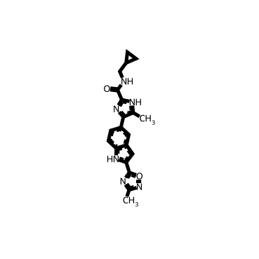 Cc1noc(-c2cc3cc(-c4nc(C(=O)NCC5CC5)[nH]c4C)ccc3[nH]2)n1